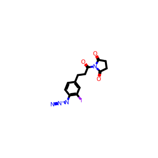 [N-]=[N+]=Nc1ccc(CCC(=O)N2C(=O)CCC2=O)cc1I